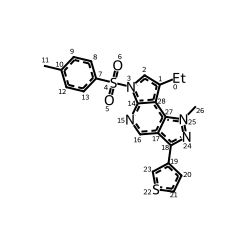 CCc1cn(S(=O)(=O)c2ccc(C)cc2)c2ncc3c(-c4ccsc4)nn(C)c3c12